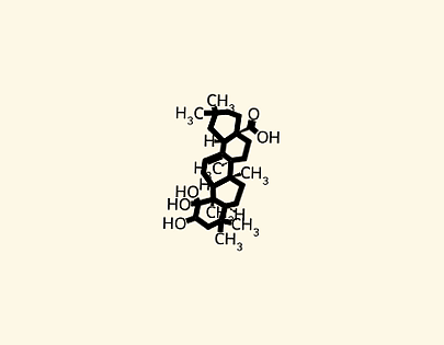 CC1(C)CC[C@]2(C(=O)O)CC[C@]3(C)C(=CC[C@@H]4[C@]5(C)[C@@H](CC[C@]43C)C(C)(C)CC(O)C5(O)O)[C@@H]2C1